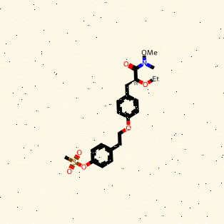 CCO[C@@H](Cc1ccc(OCCc2ccc(OS(C)(=O)=O)cc2)cc1)C(=O)N(C)OC